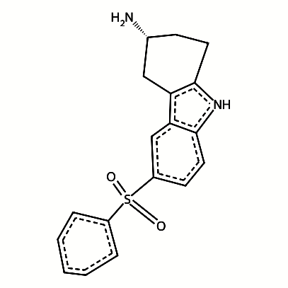 N[C@@H]1CCc2[nH]c3ccc(S(=O)(=O)c4ccccc4)cc3c2C1